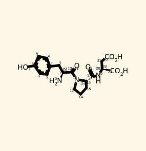 N[C@@H](Cc1ccc(O)cc1)C(=O)N1CCC[C@H]1C(=O)N[C@@H](CC(=O)O)C(=O)O